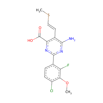 COc1c(Cl)ccc(-c2nc(N)c(/C=C/SC)c(C(=O)O)n2)c1F